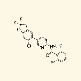 O=C(Nc1ccc(-c2cc3c(cc2Cl)OC(F)(F)C3)cn1)c1c(F)cccc1F